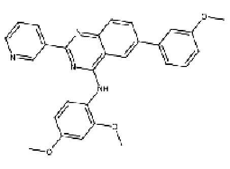 COc1cccc(-c2ccc3nc(-c4cccnc4)nc(Nc4ccc(OC)cc4OC)c3c2)c1